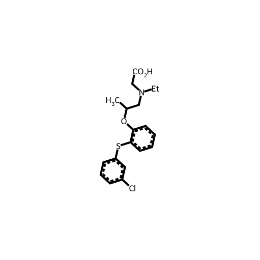 CCN(CC(=O)O)CC(C)Oc1ccccc1Sc1cccc(Cl)c1